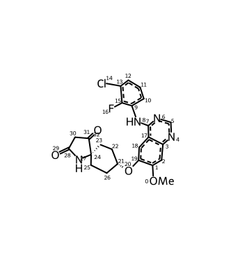 COc1cc2ncnc(Nc3cccc(Cl)c3F)c2cc1O[C@H]1CC[C@]2(CC1)NC(=O)CC2=O